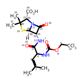 CC(C)=CC(NC(=O)OCC(Cl)(Cl)Cl)C(=O)N[C@H]1C(=O)N2[C@@H]1SC(C)(C)[C@@H]2C(=O)O